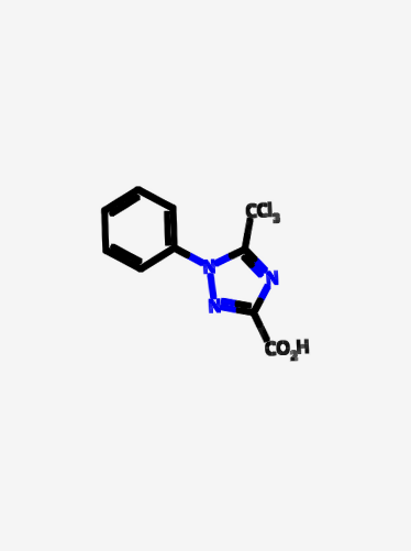 O=C(O)c1nc(C(Cl)(Cl)Cl)n(-c2ccccc2)n1